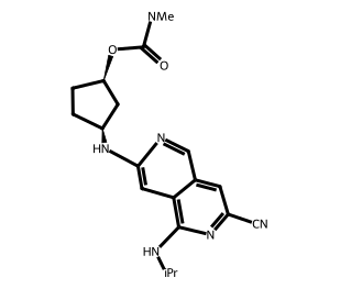 CNC(=O)O[C@@H]1CC[C@H](Nc2cc3c(NC(C)C)nc(C#N)cc3cn2)C1